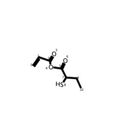 C=CC(=O)OC(=O)C(S)CC